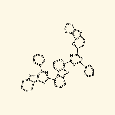 c1ccc(-c2nc(-c3ccc4oc5ccccc5c4c3)nc(-c3cccc4c3oc3cccc(-c5nc(-c6ccccc6)c6sc7ccccc7c6n5)c34)n2)cc1